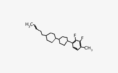 C/C=C/CCC1CCC(C2CCC(c3ccc(C)c(F)c3F)CC2)CC1